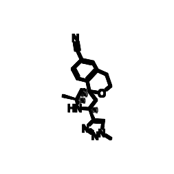 C[C@H]1C[C@@]2(C[C@@H](c3cn(C)nn3)N1)OCCc1cc(C#N)ccc12